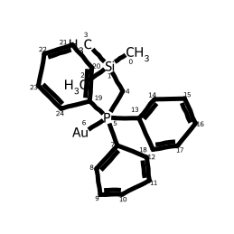 C[Si](C)(C)C[P]([Au])(c1ccccc1)(c1ccccc1)c1ccccc1